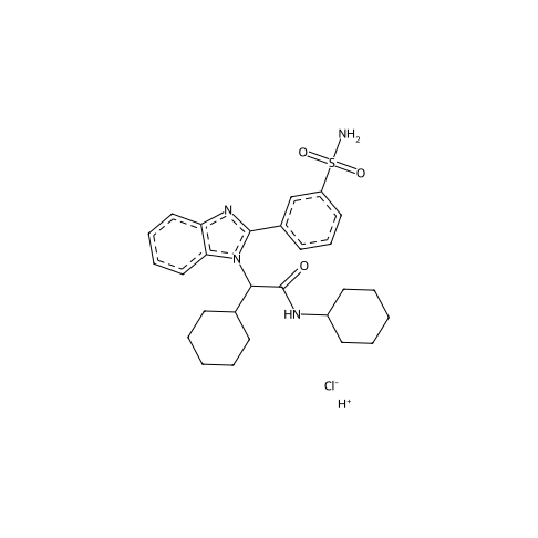 NS(=O)(=O)c1cccc(-c2nc3ccccc3n2C(C(=O)NC2CCCCC2)C2CCCCC2)c1.[Cl-].[H+]